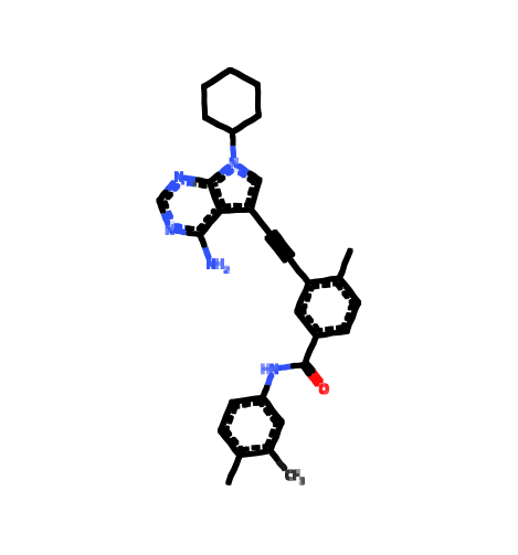 Cc1ccc(C(=O)Nc2ccc(C)c(C(F)(F)F)c2)cc1C#Cc1cn(C2CCCCC2)c2ncnc(N)c12